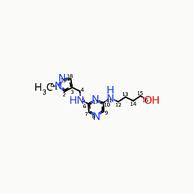 Cn1cc(CNc2cncc(NCCCCO)n2)cn1